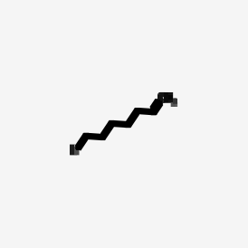 [Li][CH2]CCCCC=C